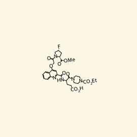 CCOC(=O)N1CCN(C(=O)C(CCC(=O)O)NC(=O)c2cc(OCC(=O)N3C[C@H](F)C[C@H]3C(=O)OC)c3ccccc3n2)CC1